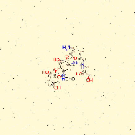 C[C@]1(O)CO[C@H](O[C@H]2[C@H](NC=O)C[C@H](N)C(O[C@H]3OC(CNCC(O)CO)=CC[C@H]3N)[C@@H]2O)[C@H](O)C1